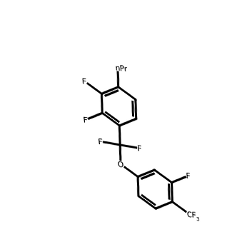 CCCc1ccc(C(F)(F)Oc2ccc(C(F)(F)F)c(F)c2)c(F)c1F